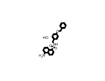 Cl.Nc1cccc2c(S(=O)(=O)NCc3ccc(OCc4ccccc4)cc3)cccc12